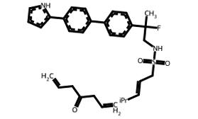 C=CCC(=O)CC=C.CC(C)C=CCS(=O)(=O)NCC(C)(F)c1ccc(-c2ccc(-c3ccc[nH]3)cc2)cc1